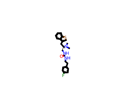 CN(C)[C@H](CNC(=O)NCCc1ccc(F)cc1)Cc1csc2ccccc12